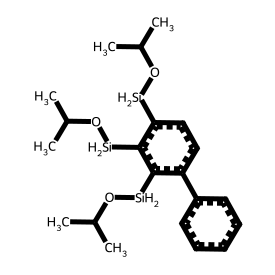 CC(C)O[SiH2]c1ccc(-c2ccccc2)c([SiH2]OC(C)C)c1[SiH2]OC(C)C